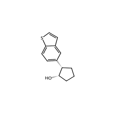 O[C@H]1CCC[C@H]1c1ccc2sccc2c1